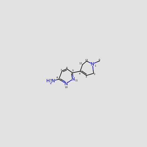 CN1CC=C(c2ccc(N)nn2)CC1